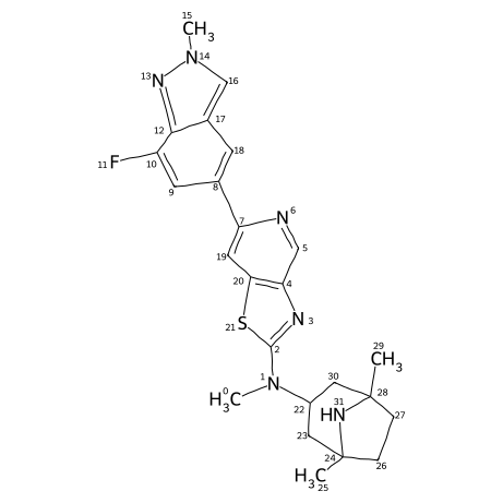 CN(c1nc2cnc(-c3cc(F)c4nn(C)cc4c3)cc2s1)C1CC2(C)CCC(C)(C1)N2